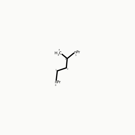 CCCCCC(C)CCC